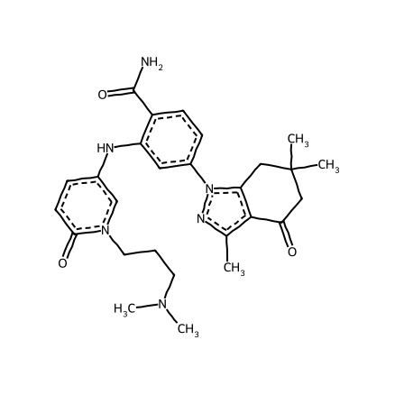 Cc1nn(-c2ccc(C(N)=O)c(Nc3ccc(=O)n(CCCN(C)C)c3)c2)c2c1C(=O)CC(C)(C)C2